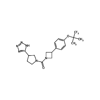 CC(C)(Oc1ccc(C2CN(C(=O)N3CCC(c4nnn[nH]4)C3)C2)cc1)C(F)(F)F